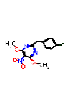 COc1nc(Cc2ccc(F)cc2)nc(OC)c1[N+](=O)[O-]